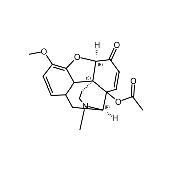 COC1=C2O[C@H]3C(=O)C=CC4(OC(C)=O)[C@H]5CC(C=C1)C2[C@@]34CCN5C